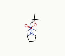 C=CN1CC2CCC(C1)N2C(=O)OC(C)(C)C